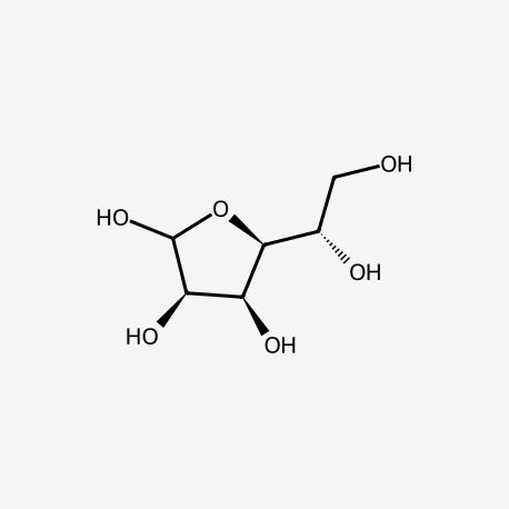 OC[C@H](O)[C@@H]1OC(O)[C@H](O)[C@@H]1O